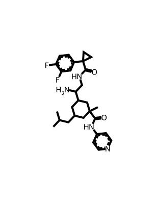 CC(C)CC1CC(C(N)CNC(=O)C2(c3ccc(F)c(F)c3)CC2)CC(C)(C(=O)Nc2ccncc2)C1